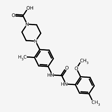 COc1ccc(C)cc1NC(=O)Nc1ccc(N2CCN(C(=O)O)CC2)c(C)c1